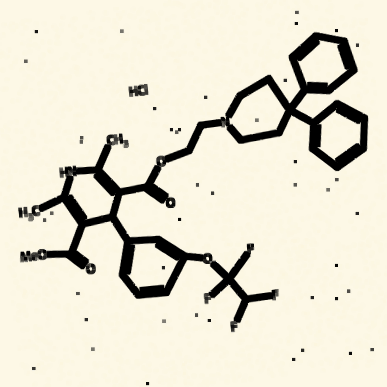 COC(=O)C1=C(C)NC(C)=C(C(=O)OCCN2CCC(c3ccccc3)(c3ccccc3)CC2)C1c1cccc(OC(F)(F)C(F)F)c1.Cl